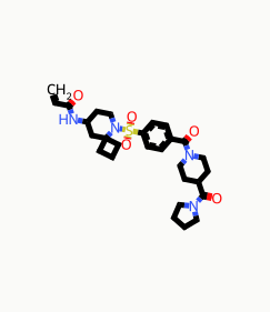 C=CC(=O)NC1CCN(S(=O)(=O)c2ccc(C(=O)N3CCC(C(=O)N4CCCC4)CC3)cc2)C2(CCC2)C1